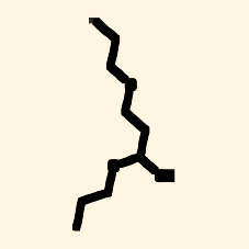 [CH2]CCOCCC(O)OCCC